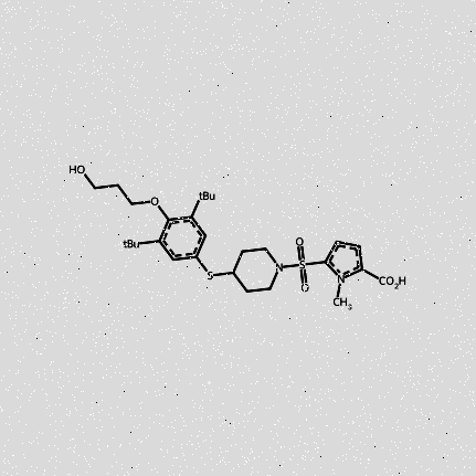 Cn1c(C(=O)O)ccc1S(=O)(=O)N1CCC(Sc2cc(C(C)(C)C)c(OCCCO)c(C(C)(C)C)c2)CC1